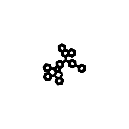 c1ccc(-c2ccc(N(c3ccc4c(c3)c3c(n4-c4ccccc4)N(c4ccccc4)c4ccccc4S3)c3cc4ccccc4c4ccccc34)cc2)cc1